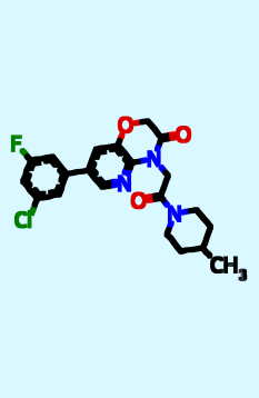 CC1CCN(C(=O)CN2C(=O)COc3cc(-c4cc(F)cc(Cl)c4)cnc32)CC1